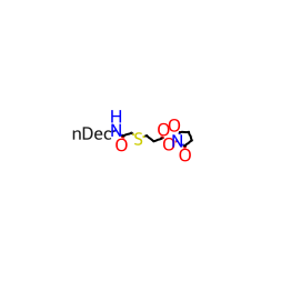 CCCCCCCCCCNC(=O)CSCCC(=O)ON1C(=O)CCC1=O